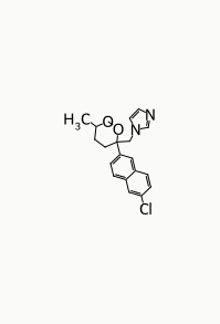 CC1CCC(Cn2ccnc2)(c2ccc3cc(Cl)ccc3c2)OO1